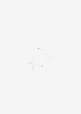 CC1(C(F)(F)F)OS(=O)(=O)C(C(F)(F)F)(C(F)(F)F)S(=O)(=O)O1